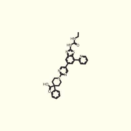 CCNC(=O)Nc1nc2cc(-c3cnc(N4CCC(C(=O)O)(c5ccccc5)CC4)nc3)cc(-c3ccccn3)c2s1